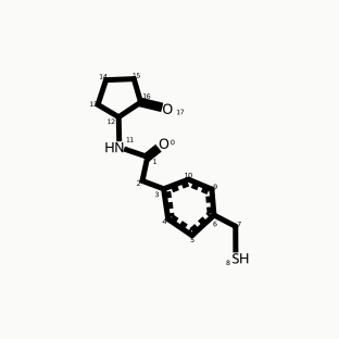 O=C(Cc1ccc(CS)cc1)NC1CCCC1=O